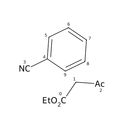 CCOC(=O)CC(C)=O.N#Cc1ccccc1